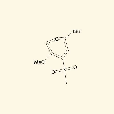 COc1ccc(C(C)(C)C)cc1S(C)(=O)=O